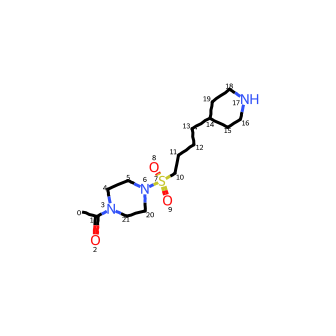 CC(=O)N1CCN(S(=O)(=O)CCC[CH]C2CCNCC2)CC1